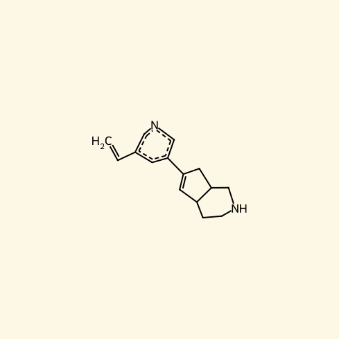 C=Cc1cncc(C2=CC3CCNCC3C2)c1